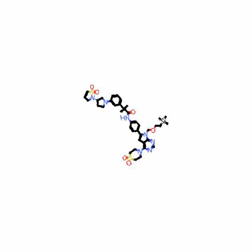 CC(C)(C(=O)Nc1ccc(-c2cc3c(N4CCS(=O)(=O)CC4)ncnc3n2COCC[Si](C)(C)C)cc1)c1cccc(N2CC[C@H](N3CC=CS3(=O)=O)C2)c1